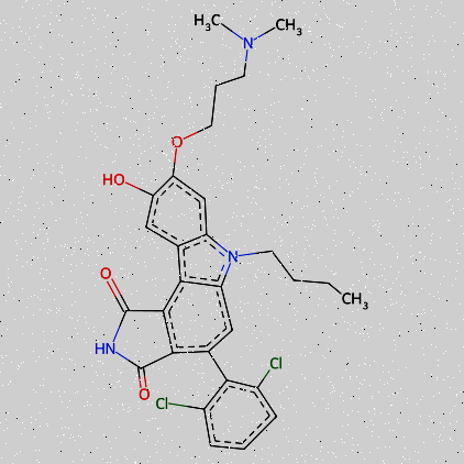 CCCCn1c2cc(OCCCN(C)C)c(O)cc2c2c3c(c(-c4c(Cl)cccc4Cl)cc21)C(=O)NC3=O